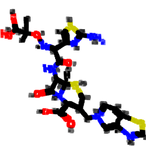 CC(C)(ON=C(C(=O)NC1C(=O)N2C(C(=O)[O-])=C(C[n+]3ccc4scnc4c3)CS[C@@H]12)c1csc(N)n1)C(=O)O